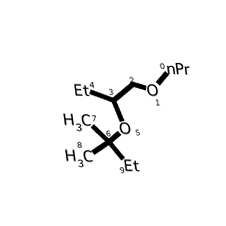 CCCOC[C](CC)OC(C)(C)CC